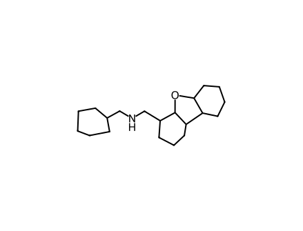 C1CCC(CNCC2CCCC3C4CCCCC4OC23)CC1